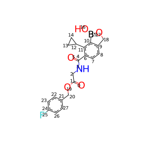 O=C(CNC(=O)c1ccc2c(c1C1CC1)B(O)OC2)OCc1ccc(F)cc1